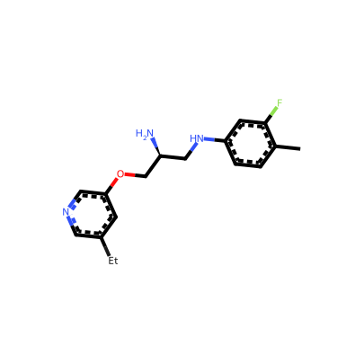 CCc1cncc(OC[C@@H](N)CNc2ccc(C)c(F)c2)c1